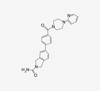 NC(=O)N1Cc2ccc(-c3ccc(C(=O)N4CCN(c5ccccn5)CC4)cc3)cc2C1